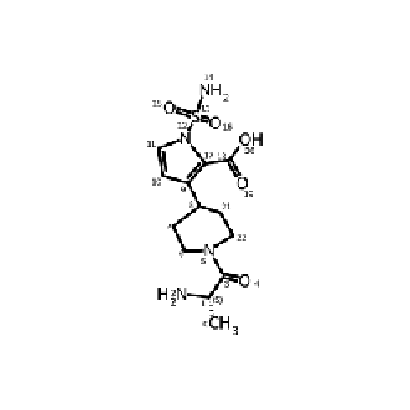 C[C@H](N)C(=O)N1CCC(c2ccn(S(N)(=O)=O)c2C(=O)O)CC1